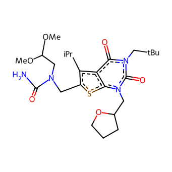 COC(CN(Cc1sc2c(c1C(C)C)c(=O)n(CC(C)(C)C)c(=O)n2CC1CCCO1)C(N)=O)OC